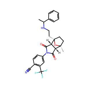 CC(NCC[C@]12CC[C@](C)(O1)[C@@H]1C(=O)N(c3ccc(C#N)c(C(F)(F)F)c3)C(=O)[C@@H]12)c1ccccc1